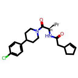 CC(C)[C@@H](NC(=O)CC1C=CCC1)C(=O)N1CCC(c2ccc(Cl)cc2)CC1